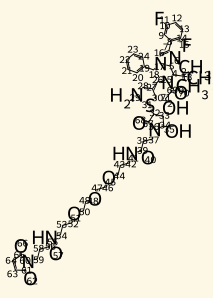 CC(C)(C)[C@H](c1nc(-c2cc(F)ccc2F)cn1Cc1ccccc1)N(CC(CN)CSC1CC(O)N(CCC(=O)NCCCOCCOCCOCCCNC(=O)CCN2C(=O)C=CC2=O)C1=O)C(=O)CO